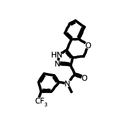 CN(C(=O)c1n[nH]c2c1COc1ccccc1-2)c1cccc(C(F)(F)F)c1